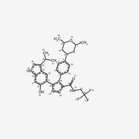 CC1CN(c2ccc(-n3c(C(=O)NCC(F)(F)F)nnc3-c3cc4c(C(C)C)n[nH]c4cc3O)cc2)CC(C)O1